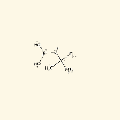 CC(C)(N)OB(O)O